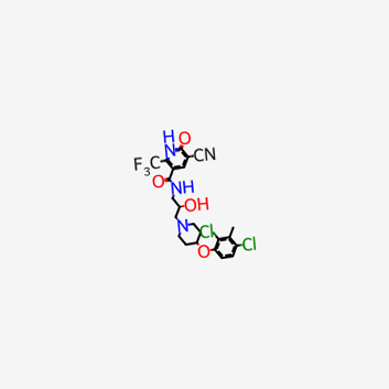 Cc1c(Cl)ccc(OC2CCN(C[C@H](O)CNC(=O)c3cc(C#N)c(=O)[nH]c3C(F)(F)F)CC2)c1Cl